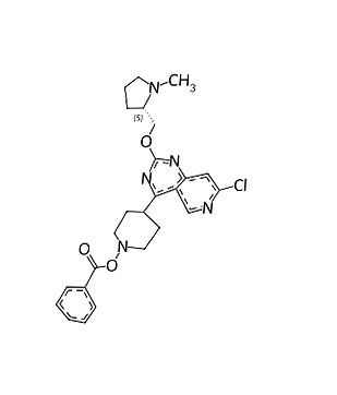 CN1CCC[C@H]1COc1nc(C2CCN(OC(=O)c3ccccc3)CC2)c2cnc(Cl)cc2n1